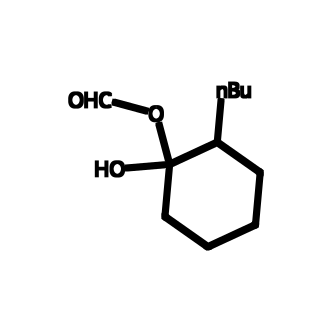 CCCCC1CCCCC1(O)OC=O